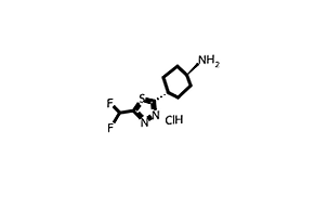 Cl.N[C@H]1CC[C@H](c2nnc(C(F)F)s2)CC1